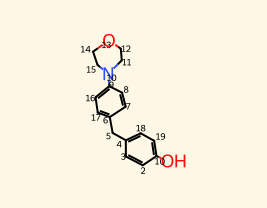 Oc1ccc(Cc2ccc(N3CCOCC3)cc2)cc1